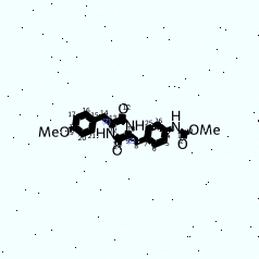 COC(=O)Nc1ccc(/C=c2\[nH]c(=O)/c(=C/c3ccc(OC)cc3)[nH]c2=O)cc1